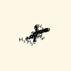 C/N=C/c1ccc2c3c(n(CCOC)c2c1)C(C)(C)c1cc(N2CCC(N4CCOCC4)CC2)c(OCCOC)cc1C3=O